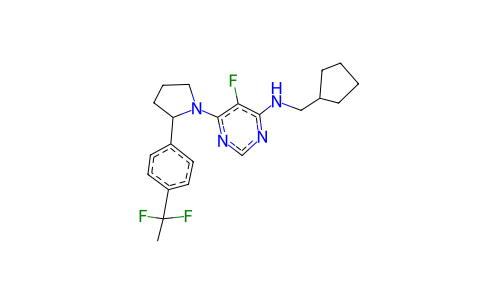 CC(F)(F)c1ccc(C2CCCN2c2ncnc(NCC3CCCC3)c2F)cc1